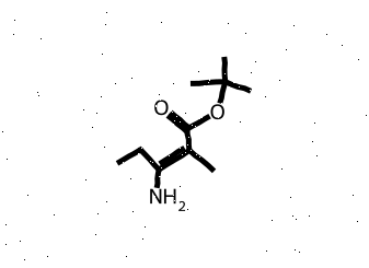 CCC(N)=C(C)C(=O)OC(C)(C)C